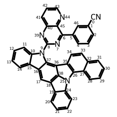 N#Cc1cccc(-c2nc(-n3c4ccccc4c4cc5c6ccccc6n6c7c8ccccc8ccc7c(c43)c56)nc3cccnc23)c1